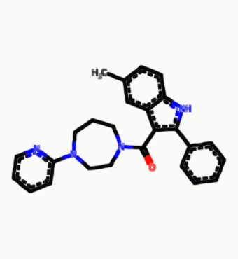 Cc1ccc2[nH]c(-c3ccccc3)c(C(=O)N3CCCN(c4ccccn4)CC3)c2c1